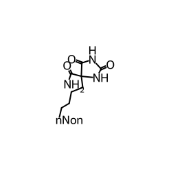 CCCCCCCCCCCCCC1(C(N)=O)NC(=O)NC1=O